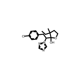 CCC1(C)CCOC1(O)C(Cc1ccc(Cl)cc1)n1cncn1